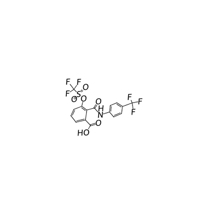 O=C(O)c1cccc(OS(=O)(=O)C(F)(F)F)c1C(=O)Nc1ccc(C(F)(F)F)cc1